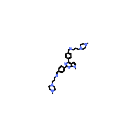 CN1CCN(CCC/N=C\c2ccc(-c3nc(-c4ccc(/C=N/CCCN5CCN(C)CC5)cc4)nc4c3ccn4C)cc2)CC1